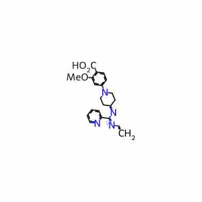 C=C/N=C(\N=C1CCN(c2ccc(C(=O)O)c(OC)c2)CC1)c1ccccn1